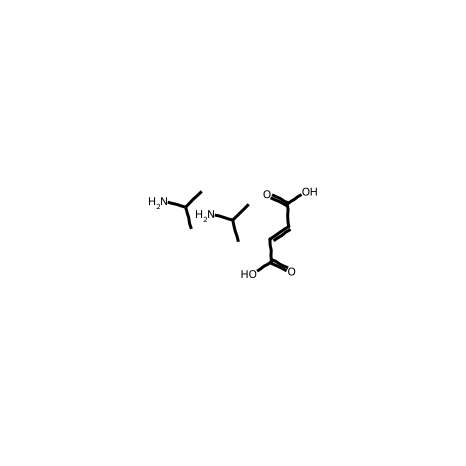 CC(C)N.CC(C)N.O=C(O)/C=C/C(=O)O